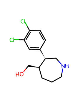 OC[C@@H]1CCCNC[C@H]1c1ccc(Cl)c(Cl)c1